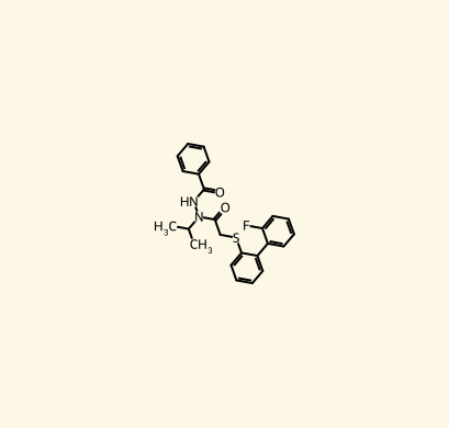 CC(C)N(NC(=O)c1ccccc1)C(=O)CSc1ccccc1-c1ccccc1F